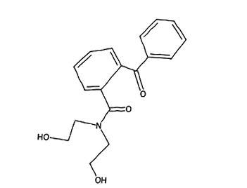 O=C(c1ccccc1)c1ccccc1C(=O)N(CCO)CCO